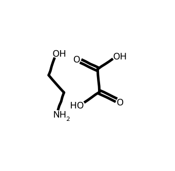 NCCO.O=C(O)C(=O)O